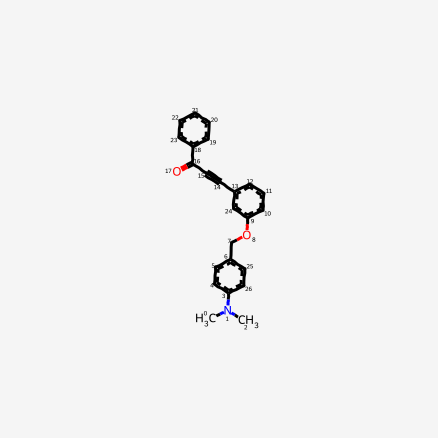 CN(C)c1ccc(COc2cccc(C#CC(=O)c3ccccc3)c2)cc1